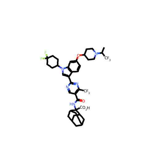 CC(N1CCC(Oc2ccc3c(-c4ncc(C(=O)NC5(C(=O)O)C6CC7CC(C6)CC5C7)c(C(F)(F)F)n4)cn(C4CCC(F)(F)CC4)c3c2)CC1)C(F)(F)F